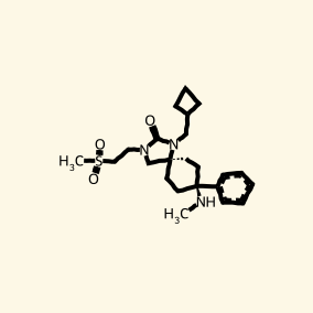 CN[C@]1(c2ccccc2)CC[C@]2(CC1)CN(CCS(C)(=O)=O)C(=O)N2CC1CCC1